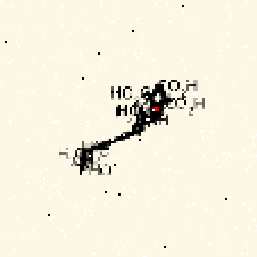 CC(CCCCNC(=O)CCCCCCCCCCN1CCN(c2nc(Nc3ccc(CC4CN(CC(=O)O)CCN(CC(=O)O)CCN(CC(=O)O)CCN4CC(=O)O)cc3)nc(N(C)C)n2)CC1)NC(=O)NCC=O